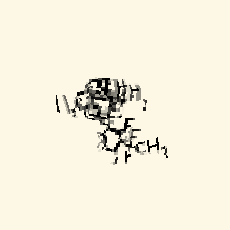 CC(F)(F)c1cccc(B2OC(C)(C)C(C)(C)O2)c1F